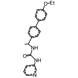 CCOc1ccc(-c2ccc(C(C)NC(=O)Nc3cccnc3)cc2)cc1